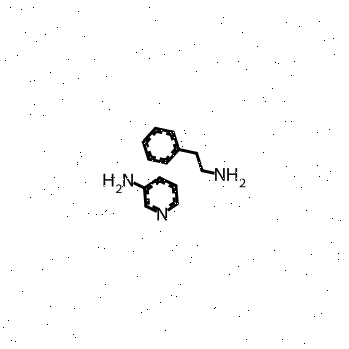 NCCc1ccccc1.Nc1cccnc1